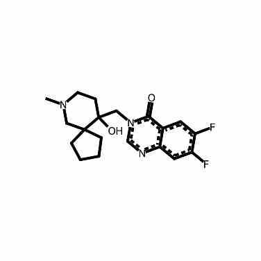 CN1CCC(O)(Cn2cnc3cc(F)c(F)cc3c2=O)C2(CCCC2)C1